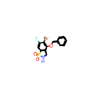 O=S1(=O)NCc2c1cc(F)c(Br)c2OCc1ccccc1